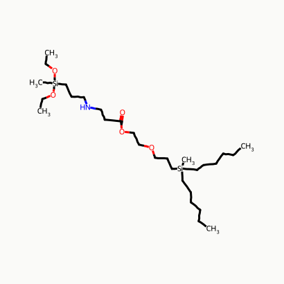 CCCCCC[Si](C)(CCCCCC)CCCOCCOC(=O)CCNCCC[Si](C)(OCC)OCC